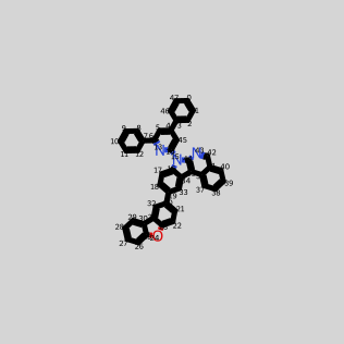 c1ccc(-c2cc(-c3ccccc3)nc(-n3c4ccc(-c5ccc6oc7ccccc7c6c5)cc4c4c5ccccc5cnc43)c2)cc1